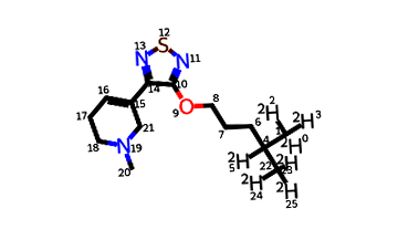 [2H]C([2H])([2H])C([2H])(CCCOc1nsnc1C1=CCCN(C)C1)C([2H])([2H])[2H]